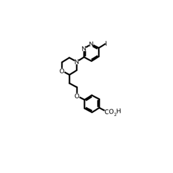 O=C(O)c1ccc(OCCC2CN(c3ccc(I)nn3)CCO2)cc1